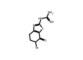 N=C(N)Nc1nc2c(s1)C(=O)C(Br)CC2